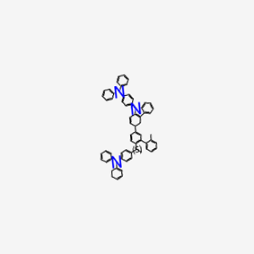 Cc1ccccc1-c1cc(C2C=Cc3c(c4ccccc4n3-c3ccc(N(c4ccccc4)c4ccccc4)cc3)C2)ccc1[C@@H](C)c1ccc(N(C2=CC=CCC2)c2ccccc2)cc1